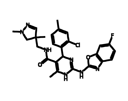 CC1=C(C(=O)NCC2(C)C=NN(C)C2)C(c2ccc(C)cc2Cl)N=C(Nc2nc3ccc(F)cc3o2)N1